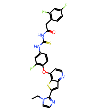 CCn1ccnc1-c1cc2nccc(Oc3ccc(NC(=S)NC(=O)Cc4ccc(F)cc4F)cc3F)c2s1